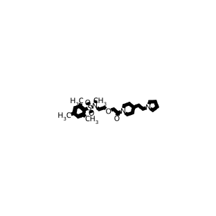 Cc1cc(C)c(S(=O)(=O)N(C)CCOCC(=O)N2CCC(CCN3CCCC3)CC2)c(C)c1